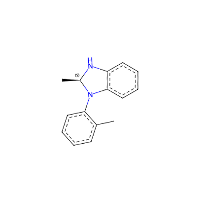 Cc1ccccc1N1c2ccccc2N[C@@H]1C